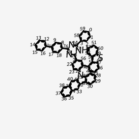 c1ccc(C2=NC(c3ccc(-c4ccccc4)cc3)=NC(c3ccc(-n4c5ccccc5c5cc6ccccc6cc54)c(-c4cccc5sc6ccccc6c45)c3)N2)cc1